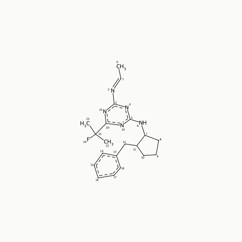 CC=Nc1nc(NC2CCCC2Cc2ccccc2)nc(C(C)(C)F)n1